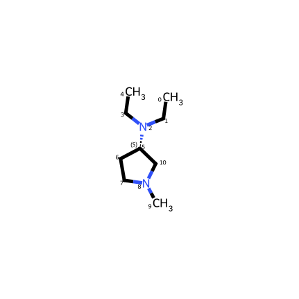 CCN(CC)[C@H]1CCN(C)C1